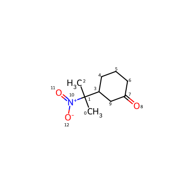 CC(C)(C1CCCC(=O)C1)[N+](=O)[O-]